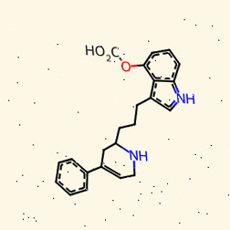 O=C(O)Oc1cccc2[nH]cc(CCCC3CC(c4ccccc4)=CCN3)c12